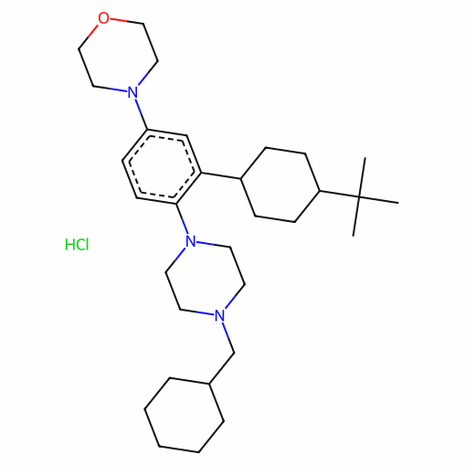 CC(C)(C)C1CCC(c2cc(N3CCOCC3)ccc2N2CCN(CC3CCCCC3)CC2)CC1.Cl